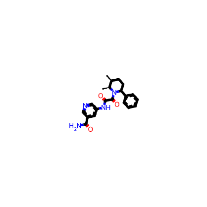 C[C@H]1CCC(c2ccccc2)N(C(=O)C(=O)Nc2cncc(C(N)=O)c2)[C@H]1C